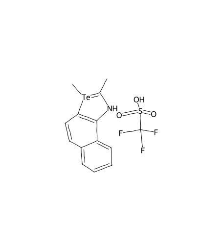 CC1=[Te](C)c2ccc3ccccc3c2N1.O=S(=O)(O)C(F)(F)F